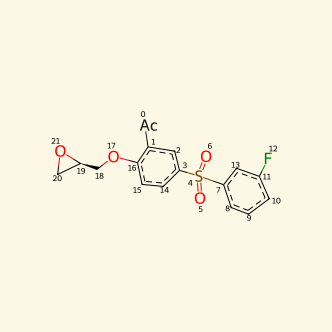 CC(=O)c1cc(S(=O)(=O)c2cccc(F)c2)ccc1OC[C@H]1CO1